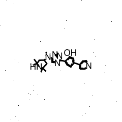 CN(c1cnc(-c2ccc(-c3ccncc3)cc2O)nn1)C1CC(C)(C)NC(C)(C)C1